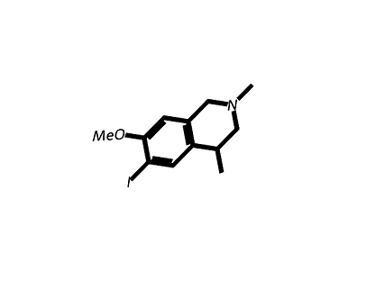 COc1cc2c(cc1I)C(C)CN(C)C2